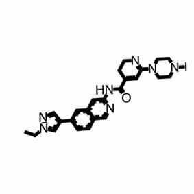 CCn1cc(-c2ccc3cnc(NC(=O)C4=CC(N5CCN(I)CC5)=NCC4)cc3c2)cn1